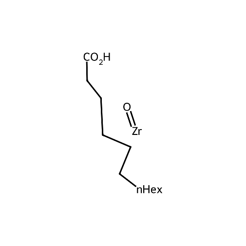 CCCCCCCCCCCC(=O)O.[O]=[Zr]